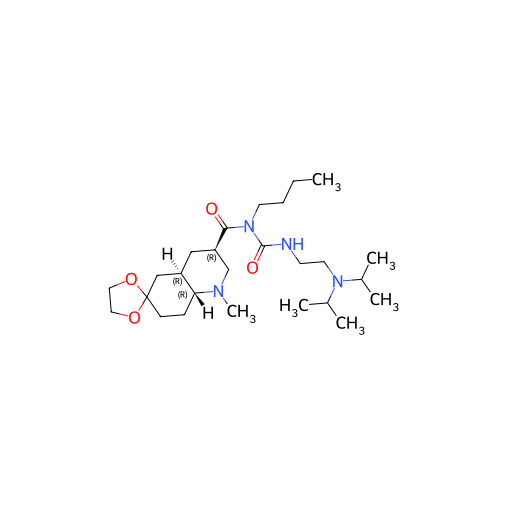 CCCCN(C(=O)NCCN(C(C)C)C(C)C)C(=O)[C@@H]1C[C@@H]2CC3(CC[C@H]2N(C)C1)OCCO3